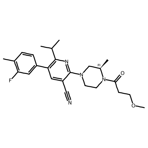 COCCC(=O)N1CCN(c2nc(C(C)C)c(-c3ccc(C)c(F)c3)cc2C#N)C[C@H]1C